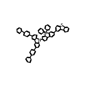 c1ccc(-c2ccc(-c3ccc4c(c3)c3cc(-c5ccc(-c6ccccc6)cc5)ccc3n4-c3ccc4c(c3)[Si](c3ccccc3)(c3ccccc3)c3cc(-c5ccc6sc7ccccc7c6c5)ccc3-4)cc2)cc1